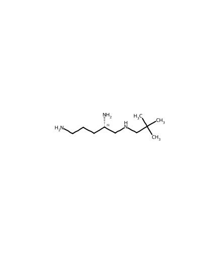 CC(C)(C)CNC[C@@H](N)CCCN